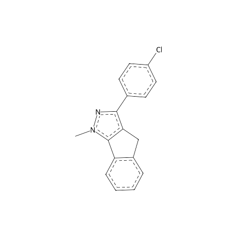 Cn1nc(-c2ccc(Cl)cc2)c2c1-c1ccccc1C2